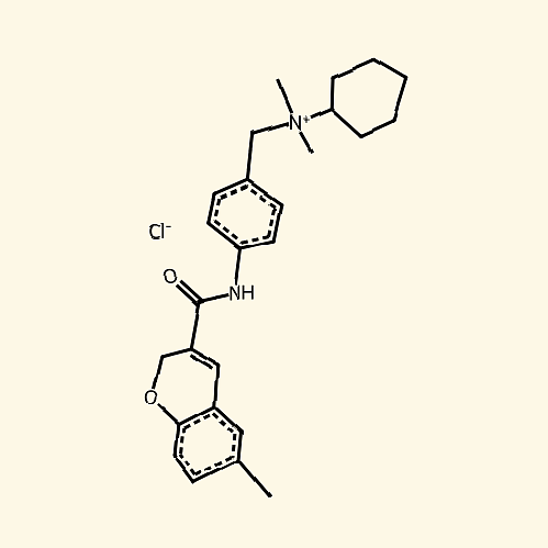 Cc1ccc2c(c1)C=C(C(=O)Nc1ccc(C[N+](C)(C)C3CCCCC3)cc1)CO2.[Cl-]